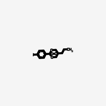 CCCC12COC(c3ccc(I)cc3)(OC1)OC2